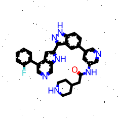 O=C(CC1CCNCC1)Nc1cncc(-c2ccc3[nH]nc(-c4cc5c(-c6ccccc6F)cncc5[nH]4)c3c2)c1